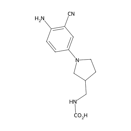 N#Cc1cc(N2CCC(CNC(=O)O)C2)ccc1N